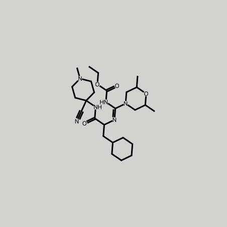 CCOC(=O)NC(=NC(CC1CCCCC1)C(=O)NC1(C#N)CCN(C)CC1)N1CC(C)OC(C)C1